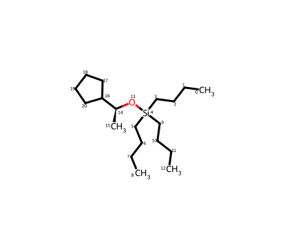 CCCC[Si](CCCC)(CCCC)O[C@@H](C)C1CCCC1